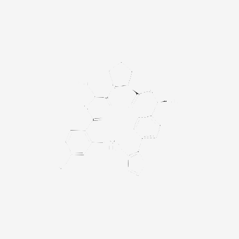 COc1cc(Br)ccc1C(=O)NC(C(=O)N1CCC[C@H]1C(=O)N[C@@H](C)c1ccc(-c2scnc2C)cc1)C(C)(C)C